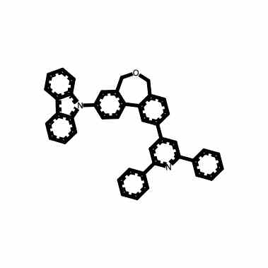 c1ccc(-c2cc(-c3ccc4c(c3)-c3ccc(-n5c6ccccc6c6ccccc65)cc3COC4)cc(-c3ccccc3)n2)cc1